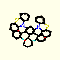 Fc1ccccc1-c1c(N2c3ccccc3Sc3ccccc32)cc(N2c3ccccc3Sc3ccccc32)c(-c2ccccc2F)c1C1CCCCC1